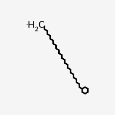 [CH2]CCCCCCCCCCCCCCCCCCCCCCCCCCC1CCCCC1